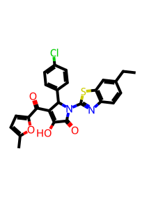 CCc1ccc2nc(N3C(=O)C(O)=C(C(=O)c4ccc(C)o4)C3c3ccc(Cl)cc3)sc2c1